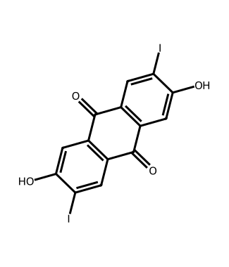 O=C1c2cc(O)c(I)cc2C(=O)c2cc(O)c(I)cc21